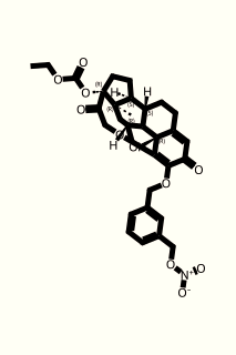 CCOC(=O)O[C@@]12CC[C@H]3[C@@H]4CCC5=CC(=O)C(OCc6cccc(CO[N+](=O)[O-])c6)=C(OCC1=O)[C@]5(C)C4[C@H](O)C[C@]32C